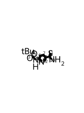 CC(C)(C)OC(=O)Nc1ccc(C(N)=S)cn1